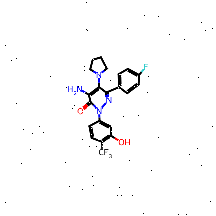 Nc1c(N2CCCC2)c(-c2ccc(F)cc2)nn(-c2ccc(C(F)(F)F)c(O)c2)c1=O